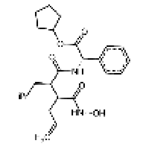 C=CCC(C(=O)NO)[C@@H](CC(C)C)C(=O)N[C@H](C(=O)OC1CCCC1)c1ccccc1